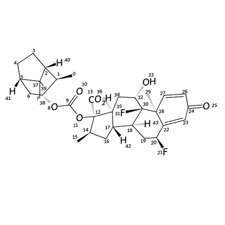 C[C@@H]1[C@H]2CC[C@@H](C[C@H]1OC(=O)O[C@]1(C(=O)O)[C@H](C)C[C@H]3[C@@H]4C[C@H](F)C5=CC(=O)C=C[C@]5(C)[C@@]4(F)[C@@H](O)C[C@@]31C)C2(C)C